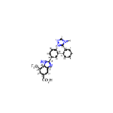 Cn1cnnc1-c1ccccc1-c1cccc(-c2nc3cc(C(=O)O)cc(C(F)(F)F)c3[nH]2)c1